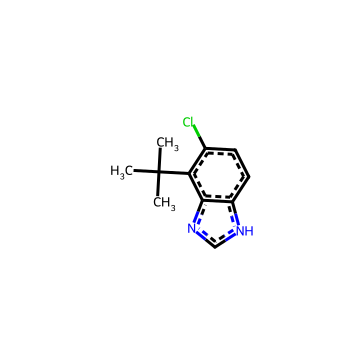 CC(C)(C)c1c(Cl)ccc2[nH]cnc12